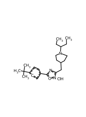 CCC(CC)N1CCC(Cc2noc(-c3ccc(C(C)(C)C)cc3)n2)CC1.Cl